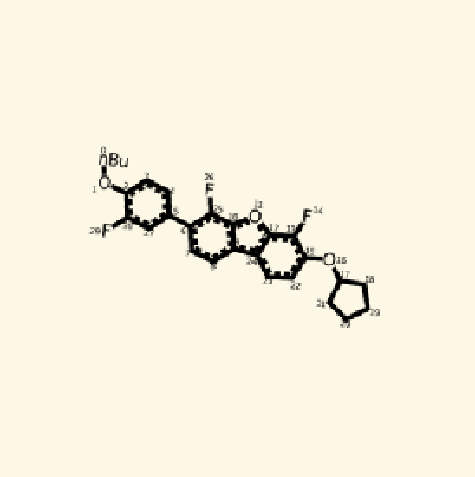 CCCCOc1ccc(-c2ccc3c(oc4c(F)c(OC5CCCC5)ccc43)c2F)cc1F